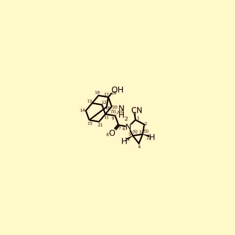 N#CC1C[C@@H]2C[C@@H]2N1C(=O)[C@@H](N)C12CC3CC(CC(O)(C3)C1)C2